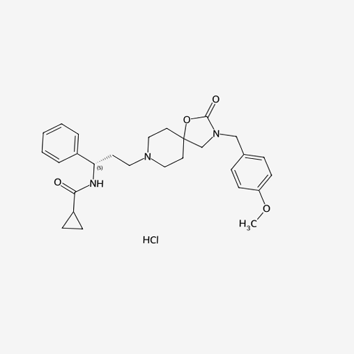 COc1ccc(CN2CC3(CCN(CC[C@H](NC(=O)C4CC4)c4ccccc4)CC3)OC2=O)cc1.Cl